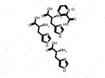 N[C@@H](Cc1c[nH]cn1)C(=O)O.N[C@@H](Cc1c[nH]cn1)C(=O)O.N[C@@H](Cc1c[nH]cn1)C(=O)O.O=C(O)c1ccccn1.[Cr]